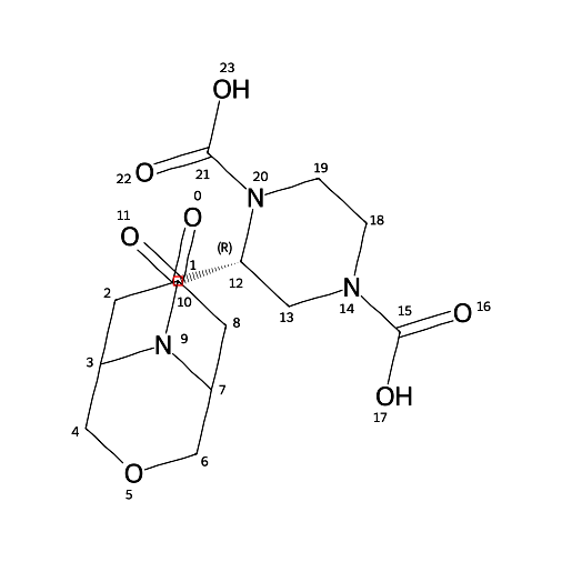 O=C1CC2COCC(C1)N2C(=O)[C@H]1CN(C(=O)O)CCN1C(=O)O